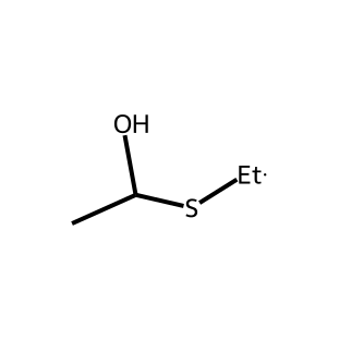 C[CH]SC(C)O